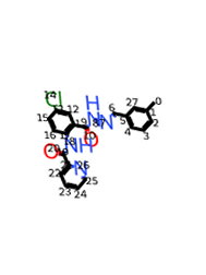 Cc1cccc(/C=N/NC(=O)c2cc(Cl)ccc2NC(=O)c2ccccn2)c1